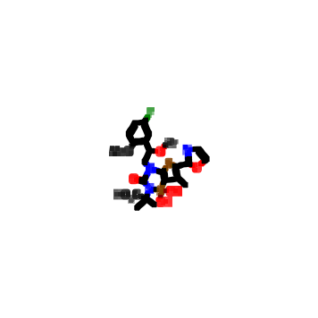 COc1ccc(F)cc1C(CN1C(=O)N(C(C)(C)C(=O)O)S(O)(O)c2c1sc(-c1ncco1)c2C)OC(C)C